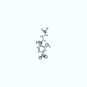 COc1cc([N+](=O)[O-])ccc1NCCCN(C)C